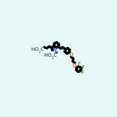 O=C(O)CCCc1cn(CC(=O)O)c2c(/C=C/c3ccc(OCCCCOc4ccc(F)c(F)c4F)cc3)cccc12